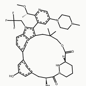 CO[C@@H](C)c1ncc(N2CCN(C)CC2)cc1-c1c2c3cc(ccc3n1CC(F)(F)F)-c1cc(O)cc(c1)C[C@H](N)C(=O)N1CCC[C@H](N1)C(=O)OCC(C)(C)C2